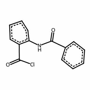 O=C(Nc1ccccc1C(=O)Cl)c1ccccc1